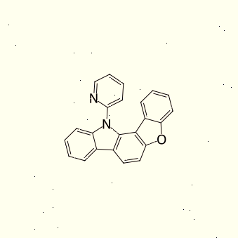 c1ccc(-n2c3ccccc3c3ccc4oc5ccccc5c4c32)nc1